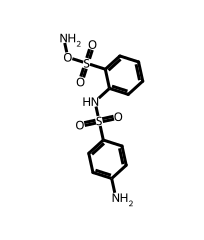 NOS(=O)(=O)c1ccccc1NS(=O)(=O)c1ccc(N)cc1